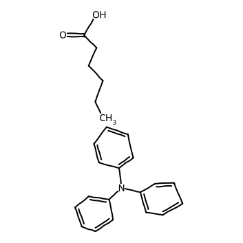 CCCCCC(=O)O.c1ccc(N(c2ccccc2)c2ccccc2)cc1